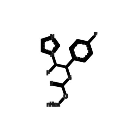 CCCCCCOC(=S)SC(c1ccc(F)cc1)C(F)n1ccnc1